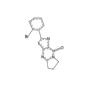 O=c1c2nc(-c3ccccc3Br)sc2nc2n1CCC2